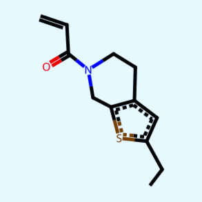 C=CC(=O)N1CCc2cc(CC)sc2C1